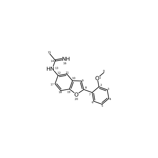 COc1ccccc1-c1cc2cc(NC(C)=N)ccc2o1